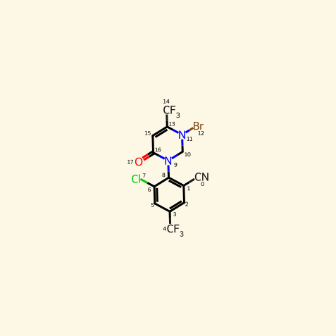 N#Cc1cc(C(F)(F)F)cc(Cl)c1N1CN(Br)C(C(F)(F)F)=CC1=O